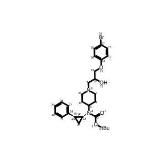 CC(C)(C)OC(=O)N(C1CCN(CC(O)COc2ccc(Br)cc2)CC1)[C@@H]1C[C@H]1c1ccccc1